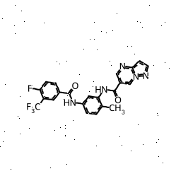 Cc1ccc(NC(=O)c2ccc(F)c(C(F)(F)F)c2)cc1NC(=O)c1cnc2ccnn2c1